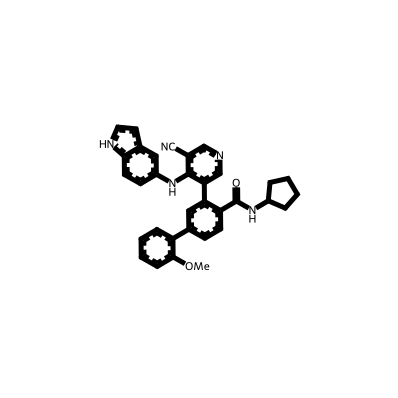 COc1ccccc1-c1ccc(C(=O)NC2CCCC2)c(-c2cncc(C#N)c2Nc2ccc3[nH]ccc3c2)c1